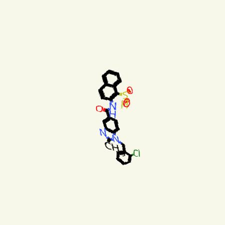 Cc1nc2cc(C(=O)Nc3ccc4ccccc4c3[SH](=O)=O)ccc2n1Cc1ccccc1Cl